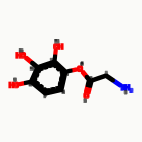 NCC(=O)Oc1ccc(O)c(O)c1O